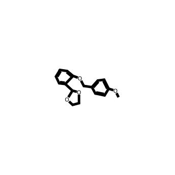 COc1ccc(COc2c[c]ccc2C2OCCO2)cc1